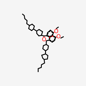 CCCCCC1CCC(C2CCC(C(OC(c3ccc(OCC)cc3)C3CCC(C4CCC(CCCCC)CC4)CC3)c3ccc(OCC)cc3)CC2)CC1